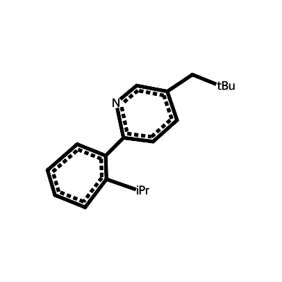 CC(C)c1ccccc1-c1ccc(CC(C)(C)C)cn1